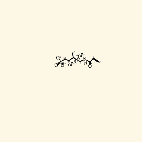 C=CC(=O)NC[N+](CCC)(CCC)C(C)CCS(=O)(=O)[O-]